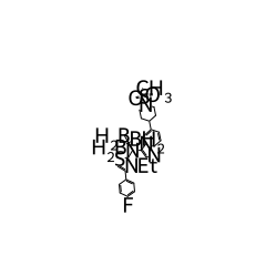 BC(B)(B)N(c1nc(-c2ccc(F)cc2)cs1)c1c(CC)nc2ccc(C3CCN(S(C)(=O)=O)CC3)cn12